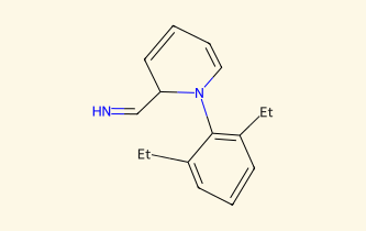 CCc1cccc(CC)c1N1C=CC=CC1C=N